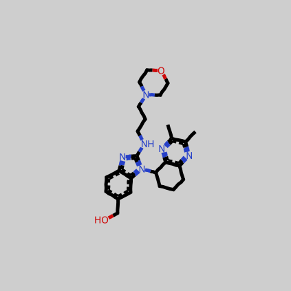 Cc1nc2c(nc1C)C(n1c(NCCCN3CCOCC3)nc3ccc(CO)cc31)CCC2